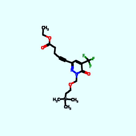 CCOC(=O)CCC#Cc1cc(C(F)(F)F)c(=O)n(COCC[Si](C)(C)C)n1